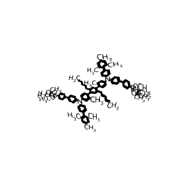 CCCCCCc1cc(-c2ccc(N(c3ccc(-c4ccc(B5OC(C)(C)C(C)(C)O5)cc4)cc3)c3ccc(-c4c(C)cc(C)cc4C)cc3)cc2C)c(CCCCCC)cc1-c1ccc(N(c2ccc(-c3ccc(B4OC(C)(C)C(C)(C)O4)cc3)cc2)c2ccc(-c3c(C)cc(C)cc3C)cc2)cc1C